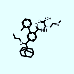 CCCOC(c1ccc(C(=O)N[C@@H](CCSC)C(=O)O)c(-c2ccccc2C)c1)C12CC3CC(CC(C3)C1)C2